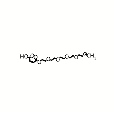 COCCOCCOCCOCCOCCOC(=O)/C=C\C(=O)O